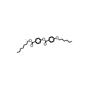 CCCCCCOc1ccc(C(=O)Oc2ccc(C(=O)O[C@@H](C)CCCCCC)cc2)cc1